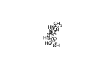 Cc1cnc2cc([C@@H]3O[C@H](CO)[C@H](O)C3O)c(=O)nc-2[nH]1